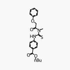 CCCCOC(=O)c1ccc(NC(=S)N(C)C(=O)COc2ccccc2)cc1